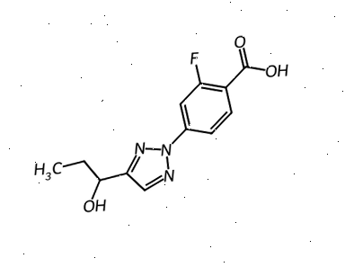 CCC(O)c1cnn(-c2ccc(C(=O)O)c(F)c2)n1